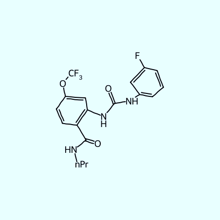 CCCNC(=O)c1ccc(OC(F)(F)F)cc1NC(=O)Nc1cccc(F)c1